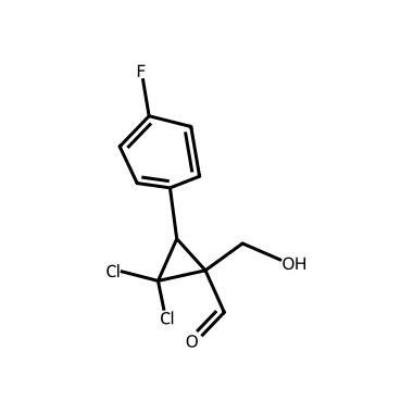 O=CC1(CO)C(c2ccc(F)cc2)C1(Cl)Cl